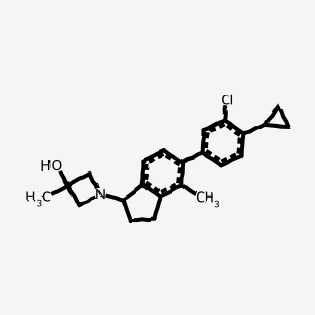 Cc1c(-c2ccc(C3CC3)c(Cl)c2)ccc2c1CCC2N1CC(C)(O)C1